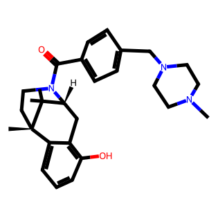 CN1CCN(Cc2ccc(C(=O)N3CC[C@@]4(C)c5cccc(O)c5C[C@@H]3C4(C)C)cc2)CC1